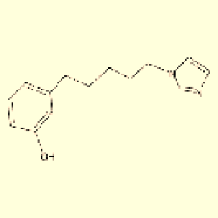 Oc1cccc(CCCCCn2ccnc2)c1